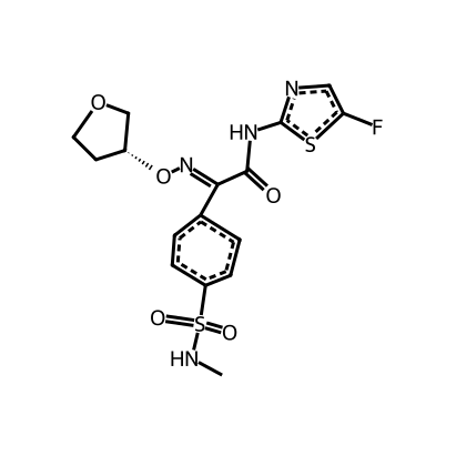 CNS(=O)(=O)c1ccc(/C(=N\O[C@@H]2CCOC2)C(=O)Nc2ncc(F)s2)cc1